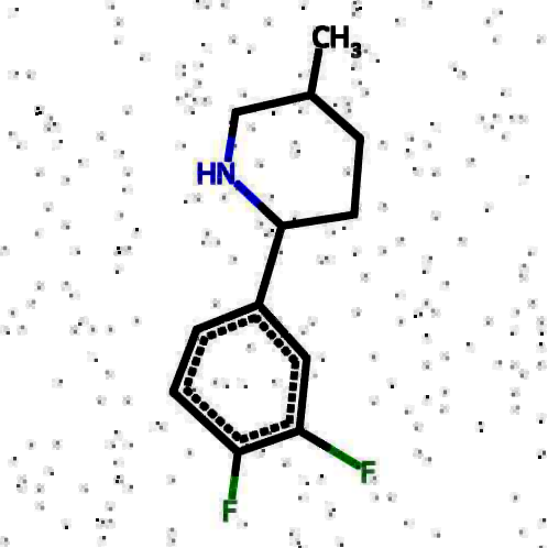 CC1CCC(c2ccc(F)c(F)c2)NC1